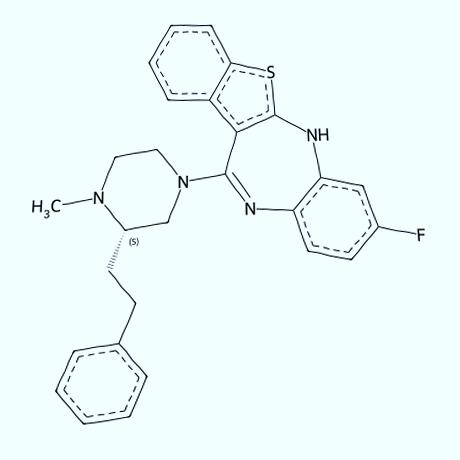 CN1CCN(C2=Nc3ccc(F)cc3Nc3sc4ccccc4c32)C[C@@H]1CCc1ccccc1